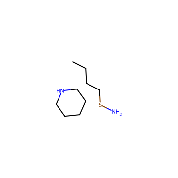 C1CCNCC1.CCCCSN